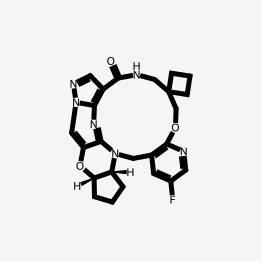 O=C1NCC2(CCC2)COc2ncc(F)cc2CN2c3nc4c1cnn4cc3O[C@H]1CCC[C@H]12